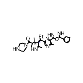 CC/C(=C(/C(C)=N)[C@H](C)C(C)C(=O)N1CCCNCC1)c1cnc(C)c(C(=N)OC(=N)C2=CC=CCC2)n1